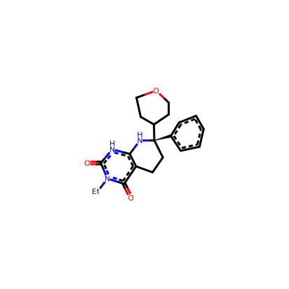 CCn1c(=O)[nH]c2c(c1=O)CC[C@@](c1ccccc1)(C1CCOCC1)N2